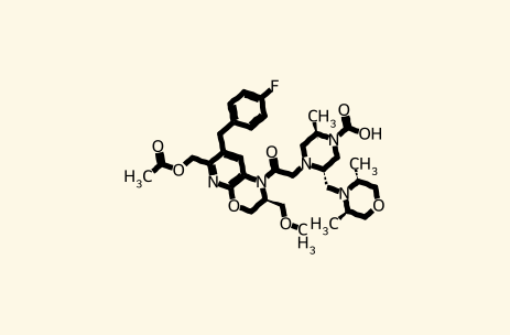 COC[C@H]1COc2nc(COC(C)=O)c(Cc3ccc(F)cc3)cc2N1C(=O)CN1C[C@@H](C)N(C(=O)O)C[C@@H]1CN1[C@H](C)COC[C@H]1C